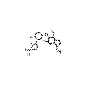 C=Cc1c(Oc2ccc(F)c(-c3ccn(PI)n3)c2)c(F)cc2c1ccn2SI